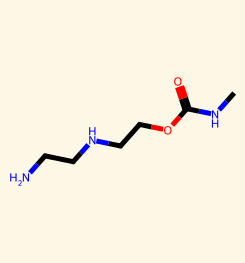 CNC(=O)OCCNCCN